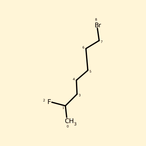 CC(F)CCCCCBr